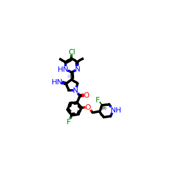 CC1=N/C(=C2\CN(C(=O)c3ccc(F)cc3OCC3CCNC[C@@H]3F)CC2=N)NC(C)=C1Cl